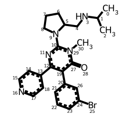 CC(C)NCC1CCCN1c1nc(-c2ccncc2)c(-c2cccc(Br)c2)c(=O)n1C